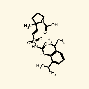 CC(C)c1cccc(C(C)C)c1NC(=O)NS(=O)(=O)C=CC1(C)CCCN1C(=O)O